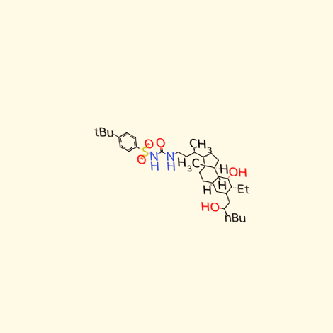 CCCC[C@@H](O)CC1C[C@H]2CCC3(C)C([C@H](C)CCNC(=O)NS(=O)(=O)c4ccc(C(C)(C)C)cc4)CC[C@H]3[C@@H]2[C@H](O)[C@@H]1CC